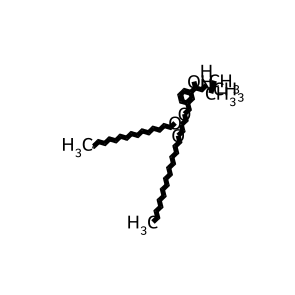 CCCCCCCCCCCCCCCCOCC(COCc1cccc(C(O)CNC(C)(C)C)c1)OCCCCCCCCCCCCCCCC